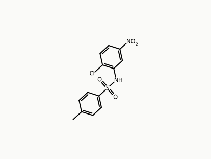 Cc1ccc(S(=O)(=O)Nc2cc([N+](=O)[O-])ccc2Cl)cc1